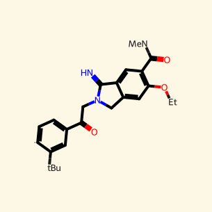 CCOc1cc2c(cc1C(=O)NC)C(=N)N(CC(=O)c1cc[c]c(C(C)(C)C)c1)C2